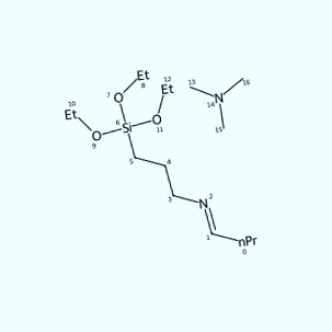 CCCC=NCCC[Si](OCC)(OCC)OCC.CN(C)C